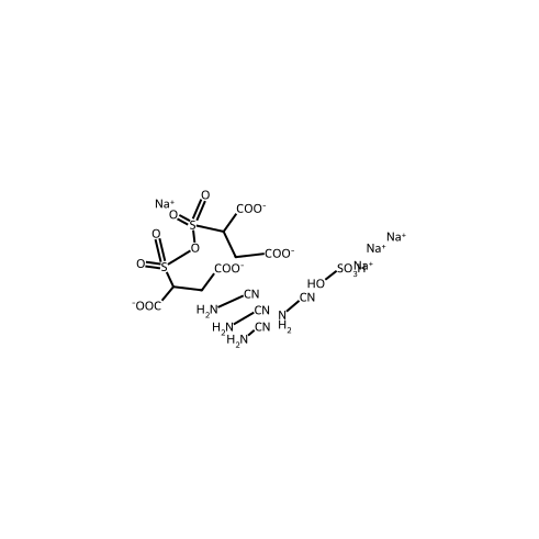 N#CN.N#CN.N#CN.N#CN.O=C([O-])CC(C(=O)[O-])S(=O)(=O)OS(=O)(=O)C(CC(=O)[O-])C(=O)[O-].O=S(=O)(O)O.[Na+].[Na+].[Na+].[Na+]